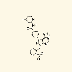 Cc1ccnc(NC(=O)c2ccc(-c3nn(Cc4ccccc4[N+](=O)[O-])c4ncnc(N)c34)cc2)c1